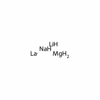 [La].[LiH].[MgH2].[NaH]